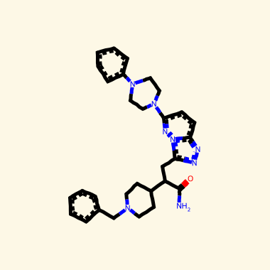 NC(=O)C(Cc1nnc2ccc(N3CCN(c4ccccc4)CC3)nn12)C1CCN(Cc2ccccc2)CC1